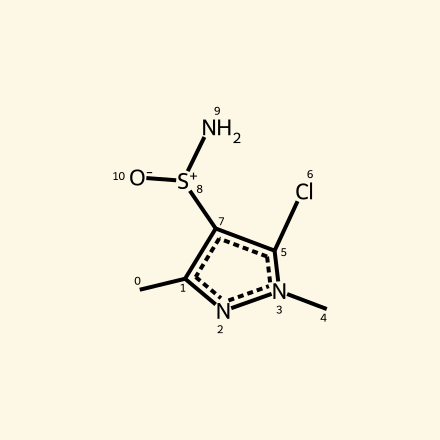 Cc1nn(C)c(Cl)c1[S+](N)[O-]